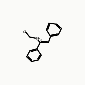 ClC[SiH2]C(=Cc1ccccc1)c1ccccc1